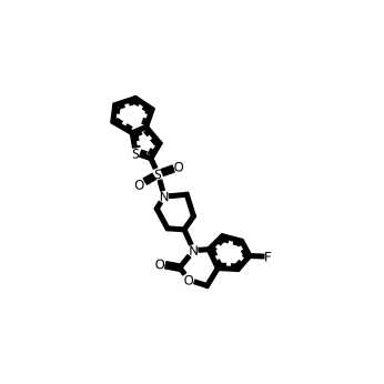 O=C1OCc2cc(F)ccc2N1C1CCN(S(=O)(=O)c2cc3ccccc3s2)CC1